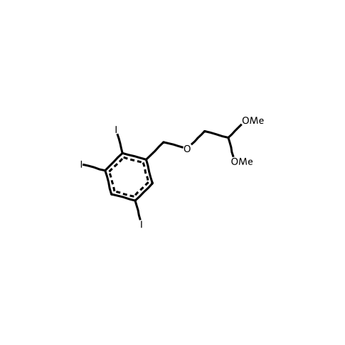 COC(COCc1cc(I)cc(I)c1I)OC